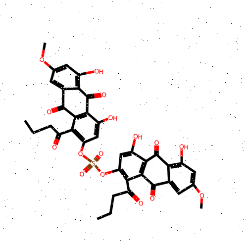 CCCC(=O)c1c(OS(=O)(=O)Oc2cc(O)c3c(c2C(=O)CCC)C(=O)c2cc(OC)cc(O)c2C3=O)cc(O)c2c1C(=O)c1cc(OC)cc(O)c1C2=O